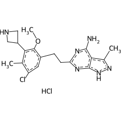 COc1c(CCc2nc(N)c3c(C)n[nH]c3n2)cc(Cl)c(C)c1C1CNC1.Cl